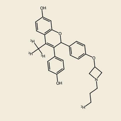 [2H]CCCN1CC(Oc2ccc(C3Oc4cc(O)ccc4C(C([2H])([2H])[2H])=C3c3ccc(O)cc3)cc2)C1